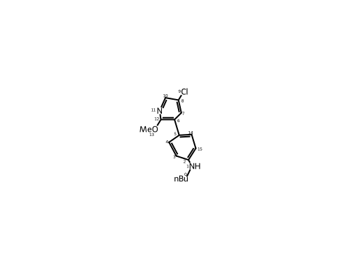 CCCCNc1ccc(-c2cc(Cl)cnc2OC)cc1